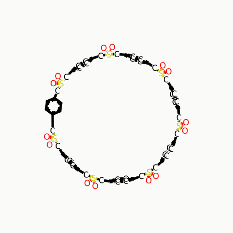 O=S1(=O)Cc2ccc(cc2)CS(=O)(=O)Cc2ccc(cc2)CS(=O)(=O)Cc2ccc(cc2)CS(=O)(=O)Cc2ccc(cc2)CS(=O)(=O)Cc2ccc(cc2)CS(=O)(=O)Cc2ccc(cc2)CS(=O)(=O)Cc2ccc(cc2)C1